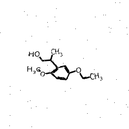 CCOc1ccc(OC)c([C](C)CO)c1